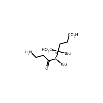 CC(C)(C)N(C(=O)CCN)[C@@](CCC(=O)O)(C(=O)O)C(C)(C)C